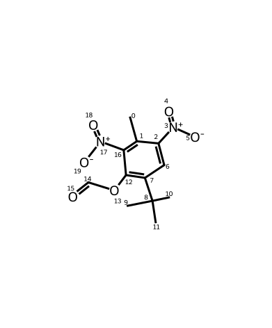 Cc1c([N+](=O)[O-])cc(C(C)(C)C)c(OC=O)c1[N+](=O)[O-]